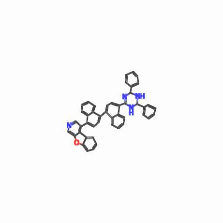 c1ccc(C2N=C(c3ccc(-c4ccc(-c5cncc6oc7ccccc7c56)c5ccccc45)c4ccccc34)NC(c3ccccc3)N2)cc1